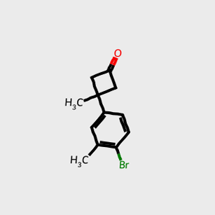 Cc1cc(C2(C)CC(=O)C2)ccc1Br